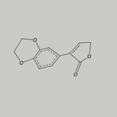 O=C1OCC=C1c1ccc2c(c1)OCCO2